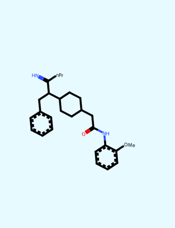 CCCC(=N)C(Cc1ccccc1)C1CCC(CC(=O)Nc2ccccc2OC)CC1